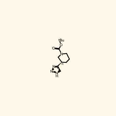 CC(C)(C)OC(=O)N1CCC[C@@H](c2c[nH]nn2)C1